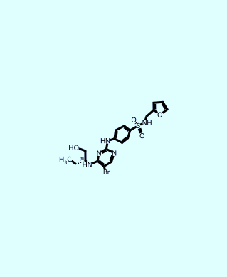 CC[C@H](CO)Nc1nc(Nc2ccc(S(=O)(=O)NCc3ccco3)cc2)ncc1Br